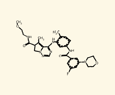 COCCNC(=O)C1CN2N=CN=C(Nc3cc(NC(=O)c4cc(F)cc(N5CCOCC5)c4)ccc3C)C2=C1C